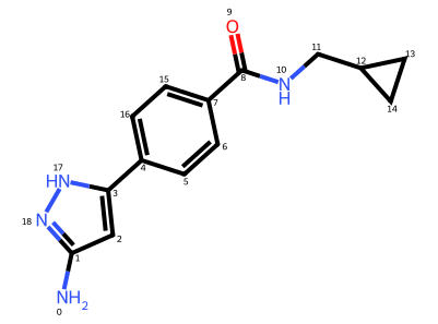 Nc1cc(-c2ccc(C(=O)NCC3CC3)cc2)[nH]n1